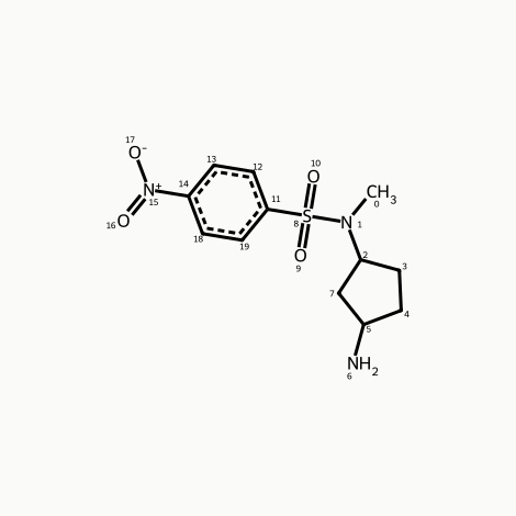 CN(C1CCC(N)C1)S(=O)(=O)c1ccc([N+](=O)[O-])cc1